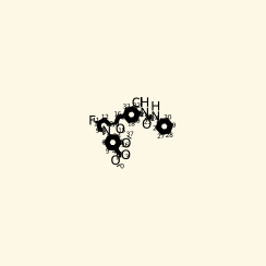 COC(=O)c1ccc(N2C[C@@H](F)C[C@H]2C(=O)Cc2ccc(NC(=O)Nc3ccccc3)c(Cl)c2)cc1OC